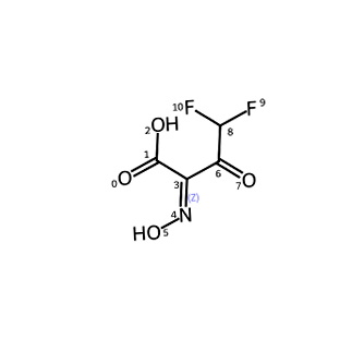 O=C(O)/C(=N\O)C(=O)C(F)F